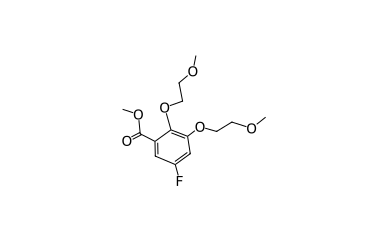 COCCOc1cc(F)cc(C(=O)OC)c1OCCOC